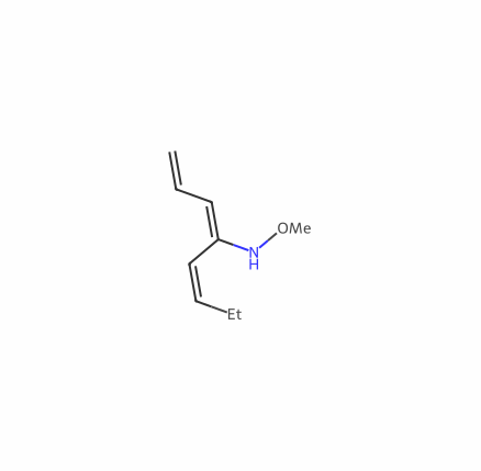 C=C/C=C(\C=C/CC)NOC